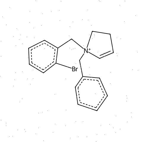 Brc1ccccc1C[N+]1(Cc2ccccc2)C=CCC1